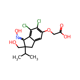 CC(C)C1(CO)Cc2cc(OCC(=O)O)c(Cl)c(Cl)c2C1=NO